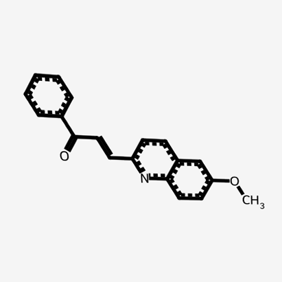 COc1ccc2nc(/C=C/C(=O)c3ccccc3)ccc2c1